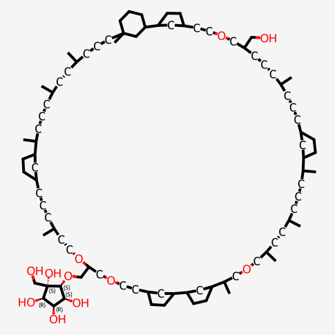 CC1CCCC(CO)COCCC2CCC(C2)C2CCCC(C)(CCCC(C)CCC(C)CCCC(C)C3CCC(CCCC(C)CCOC(CO[C@H]4[C@@H](O)[C@@H](O)[C@@H](O)[C@@]4(O)CO)COCCC4CCC(C4)C4CCC(C4)C(C)COCC(C)CCC(C)CCCC(C)C4CCC(CCC1)C4)C3)C2